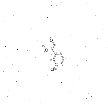 COC(C=O)c1cccc(Cl)c1